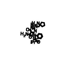 CC(C)S(=O)(=O)c1ccccc1Nc1nc(NCC2(N)CCCC2)[nH]c(=O)c1C(N)=O